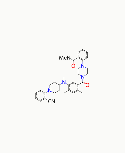 CNC(=O)c1ccccc1N1CCN(C(=O)c2cc(N(C)C3CCN(c4ccccc4C#N)CC3)c(C)cc2C)CC1